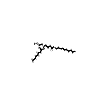 CCCCCCCCCCOC(=O)CCCN(CCO)OC(=O)CCCCCCC